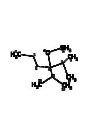 CCCC(O[SiH3])(C(C)C)C(C)C